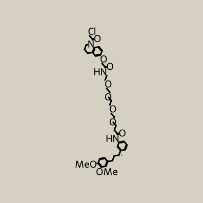 COc1ccc(CC[CH]c2cccc(NC(=O)CCOCCOCCOCCOCCNC(=O)COc3ccc4c(c3)CCCN4C(=O)CCl)c2)cc1OC